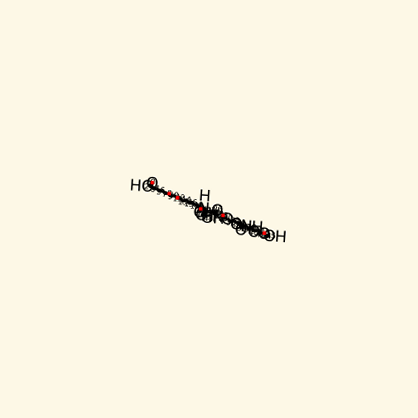 O=C(O)CCCCCCCCCCCCCCCCC(=O)N[C@@H](CCC(=O)NCCOCCOCC(=O)NCCOCCOCO)C(=O)O